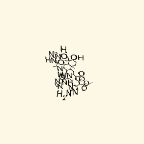 C=C1C(NC(C)C(=O)NC2=NCC=N2)CC2[C@](C)(CC[C@@H](O)[C@@]2(C)CO)C1CC(NC(C)C(=O)NC1=NCC=N1)C1=C/C(=C(/C(=O)OCC)c2cnc(N)nc2)OC1=O